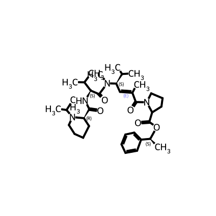 C/C(=C\[C@H](C(C)C)N(C)C(=O)[C@@H](NC(=O)[C@H]1CCCCN1C(C)C)C(C)C)C(=O)N1CCCC1C(=O)O[C@@H](C)c1ccccc1